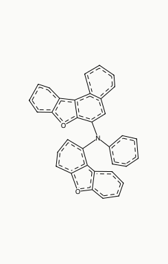 c1ccc(N(c2cc3ccccc3c3c2oc2ccccc23)c2cccc3oc4ccccc4c23)cc1